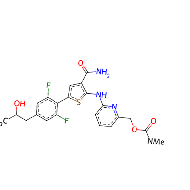 CNC(=O)OCc1cccc(Nc2sc(-c3c(F)cc(CC(C)O)cc3F)cc2C(N)=O)n1